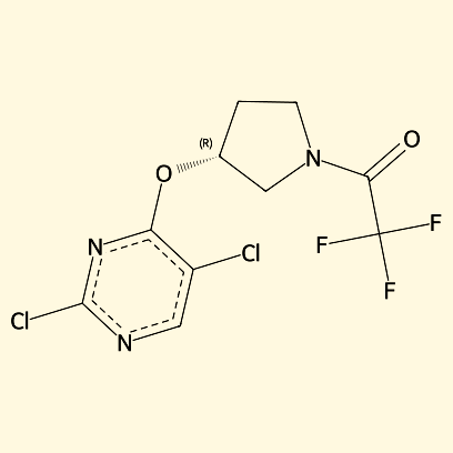 O=C(N1CC[C@@H](Oc2nc(Cl)ncc2Cl)C1)C(F)(F)F